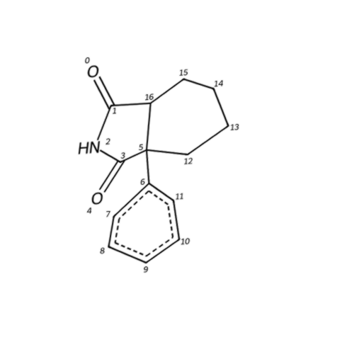 O=C1NC(=O)C2(c3ccccc3)CCCCC12